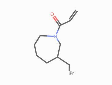 C=CC(=O)N1CCCCC(CC(C)C)C1